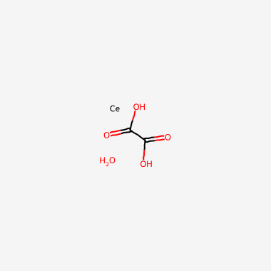 O.O=C(O)C(=O)O.[Ce]